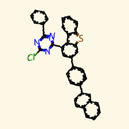 Clc1nc(-c2ccccc2)nc(-c2cc(-c3ccc(-c4ccc5ccccc5c4)cc3)cc3sc4ccccc4c23)n1